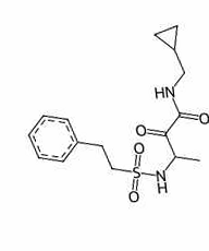 CC(NS(=O)(=O)CCc1ccccc1)C(=O)C(=O)NCC1CC1